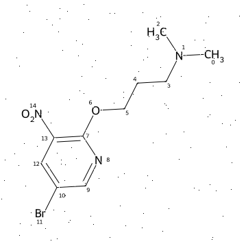 CN(C)CCCOc1ncc(Br)cc1[N+](=O)[O-]